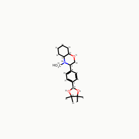 CC1(C)OB(c2ccc(C3COC4CCCCC4N3C(=O)O)cc2)OC1(C)C